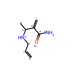 C=CCNC(C)C(=C)C(N)=O